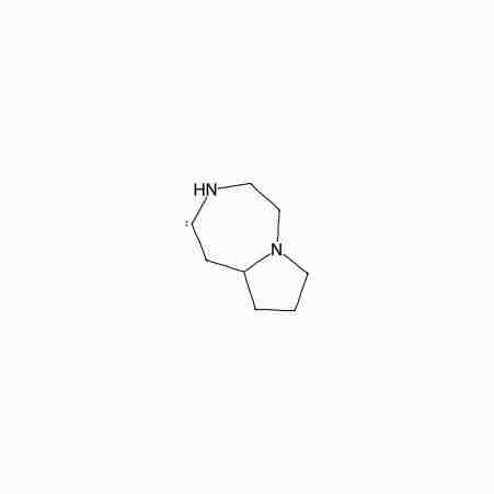 [C]1CC2CCCN2CCN1